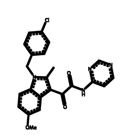 COc1ccc2c(c1)c(C(=O)C(=O)Nc1ccncn1)c(C)n2Cc1ccc(Cl)cc1